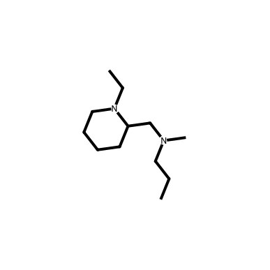 CCCN(C)CC1CCCCN1CC